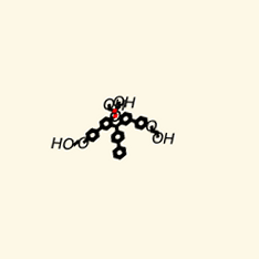 OCCOc1ccc(-c2ccc(OCCO)c(C(c3ccc(-c4ccccc4)cc3)c3cc(-c4ccc(OCCO)cc4)ccc3OCCO)c2)cc1